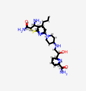 CCCc1cc(N2CCC(NCC(O)c3cccc(C(N)=O)n3)CC2)nc2c1C(N)C(C(N)=O)S2